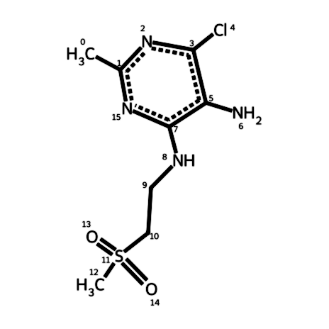 Cc1nc(Cl)c(N)c(NCCS(C)(=O)=O)n1